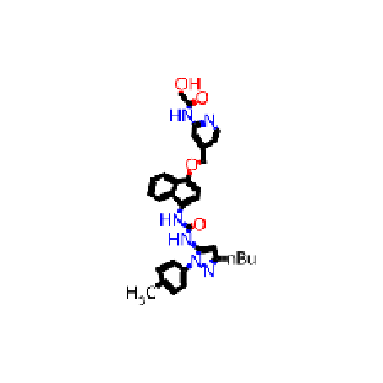 CCCCc1cc(NC(=O)Nc2ccc(OCc3ccnc(NC(=O)CO)c3)c3ccccc23)n(-c2ccc(C)cc2)n1